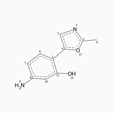 Cc1ncc(-c2ccc(N)cc2O)o1